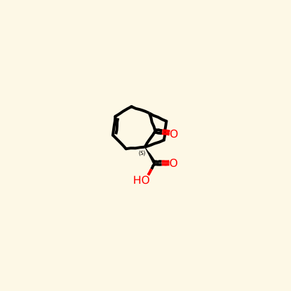 O=C(O)[C@]12CC=CCC(CC1)C2=O